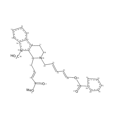 COC(=O)/C=C/CC1c2c(c3ccccc3n2C(=O)O)CCN1C/C=C/C=C/OC(=O)c1ccccc1